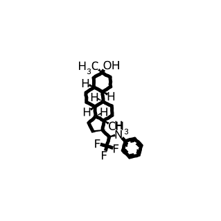 C[C@@]1(O)CC[C@H]2[C@H](CC[C@@H]3[C@@H]2CC[C@]2(C)[C@@H]([C@@H](Nc4ccccc4)C(F)(F)F)CC[C@@H]32)C1